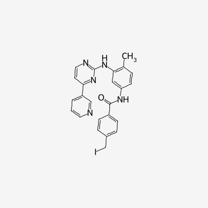 Cc1ccc(NC(=O)c2ccc(CI)cc2)cc1Nc1nccc(-c2cccnc2)n1